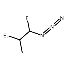 CCC(C)C(F)N=[N+]=[N-]